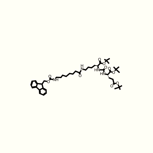 CC(C)(C)OC(=O)CC[C@H](NC(=O)N[C@@H](CCCCNC(=O)CCCCCCCNC(=O)OCC1c2ccccc2-c2ccccc21)C(=O)OC(C)(C)C)C(=O)OC(C)(C)C